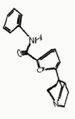 O=C(Nc1ccccc1)c1ccc(C2=CN3CCC2CC3)o1